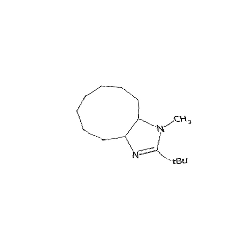 CN1C(C(C)(C)C)=NC2CCCCCCCC21